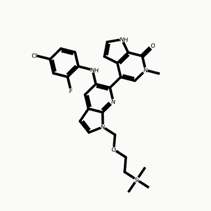 Cn1cc(-c2nc3c(ccn3COCC[Si](C)(C)C)cc2Nc2ccc(Cl)cc2F)c2cc[nH]c2c1=O